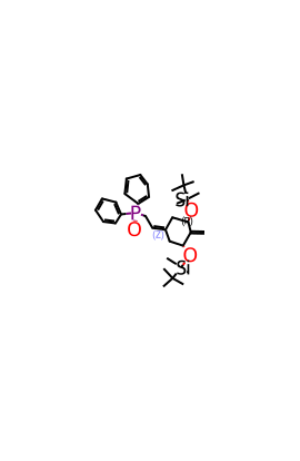 C=C1C(O[Si](C)(C)C(C)(C)C)C/C(=C/CP(=O)(c2ccccc2)c2ccccc2)C[C@H]1O[Si](C)(C)C(C)(C)C